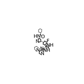 O=C(Nc1cncc(-c2cc(F)c3[nH]nc(-c4nc5c(N6CCCCC6)ccnc5[nH]4)c3c2)c1)C1CCCCC1